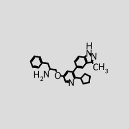 Cc1n[nH]c2ccc(-c3cc(OC[C@@H](N)Cc4ccccc4)cnc3C3CCCC3)cc12